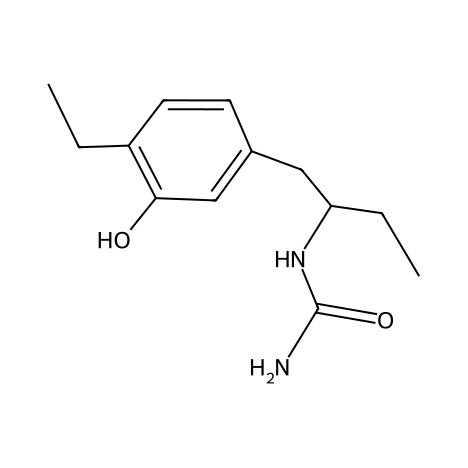 CCc1ccc(CC(CC)NC(N)=O)cc1O